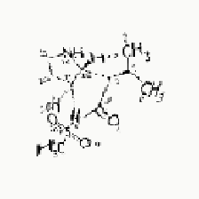 CC(C)[C@H]1C(=O)N(S(C)(=O)=O)[C@H]2CCN[C@H]12